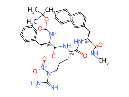 CNC(=O)[C@H](Cc1ccc2ccccc2c1)NC(=O)[C@H](CCCN(C(=N)N)[N+](=O)[O-])NC(=O)[C@@H](Cc1ccccc1)NC(=O)OC(C)(C)C